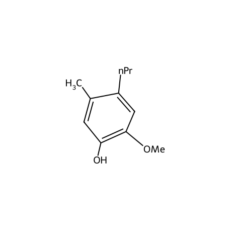 CCCc1cc(OC)c(O)cc1C